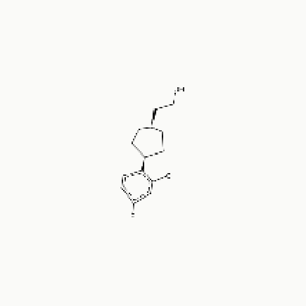 OCC[C@H]1CC[C@@H](c2ccc(F)cc2Cl)CC1